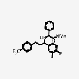 CNC(=O)C(NC(CCc1ccc(C(F)(F)F)cc1)c1ccc(F)c(C)c1)c1ccccc1